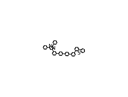 c1ccc(-c2cc(-c3cccc(-c4ccc(-c5ccc(-c6cccc(-c7cccc8c7sc7ccccc78)c6)cc5)cc4)c3)nc(-c3ccccc3)n2)cc1